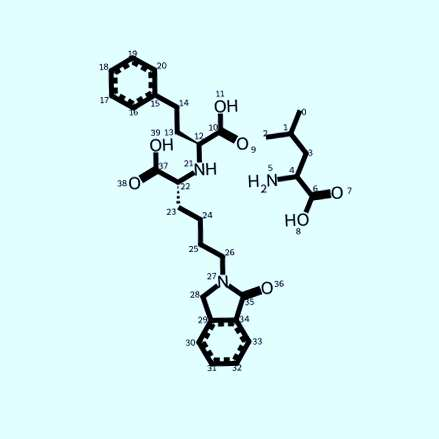 CC(C)CC(N)C(=O)O.O=C(O)[C@H](CCc1ccccc1)N[C@H](CCCCN1Cc2ccccc2C1=O)C(=O)O